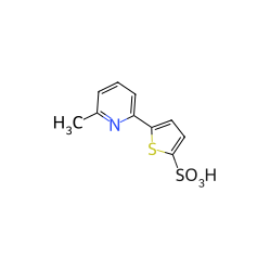 Cc1cccc(-c2ccc(S(=O)(=O)O)s2)n1